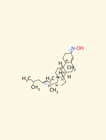 CC(C)C/C=C/[C@@H](C)[C@H]1CC[C@H]2[C@@H]3CCC4=C/C(=N\O)CC[C@]4(C)[C@H]3CC[C@]12C